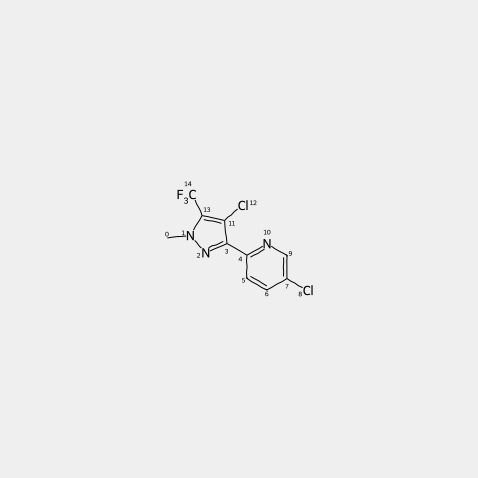 Cn1nc(-c2ccc(Cl)cn2)c(Cl)c1C(F)(F)F